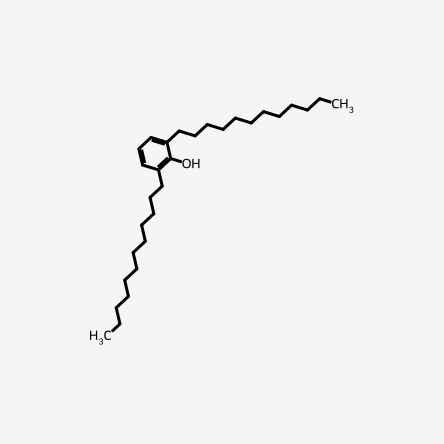 CCCCCCCCCCCCc1cccc(CCCCCCCCCCCC)c1O